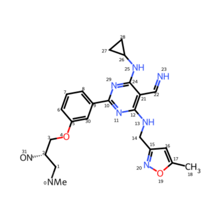 CNC[C@@H](COc1cccc(-c2nc(NCc3cc(C)on3)c(C=N)c(NC3CC3)n2)c1)N=O